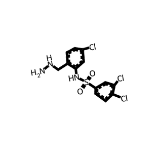 NNCc1ccc(Cl)cc1NS(=O)(=O)c1ccc(Cl)c(Cl)c1